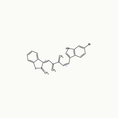 C=C(/C=C\c1c[nH]c2cc(Br)ccc12)C(=C)/C=c1\c(=C)sc2ccccc12